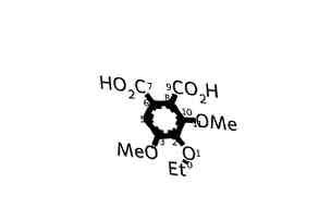 CCOc1c(OC)cc(C(=O)O)c(C(=O)O)c1OC